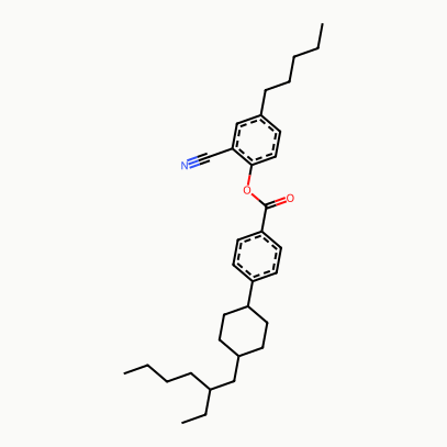 CCCCCc1ccc(OC(=O)c2ccc(C3CCC(CC(CC)CCCC)CC3)cc2)c(C#N)c1